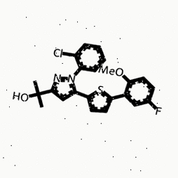 COc1ccc(F)cc1-c1ccc(-c2cc(C(C)(C)O)nn2-c2ccccc2Cl)s1